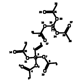 C=C[Si](OC(C)=O)(OC(C)=O)OC(C)=O.CC(=O)O[SiH](OC(C)=O)OC(C)=O